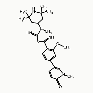 COc1cc(-c2ccc(=O)n(C)c2)ccc1C(=N)SC(=N)N(C)C1CC(C)(C)NC(C)(C)C1